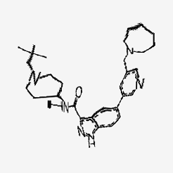 CC(C)(C)CN1CCC(NC(=O)c2n[nH]c3ccc(-c4cncc(CN5CCCCCC5)c4)cc23)CC1